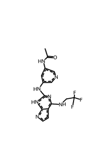 CC(=O)Nc1cncc(Nc2nc(NCC(F)(F)F)c3ccnc-3[nH]2)c1